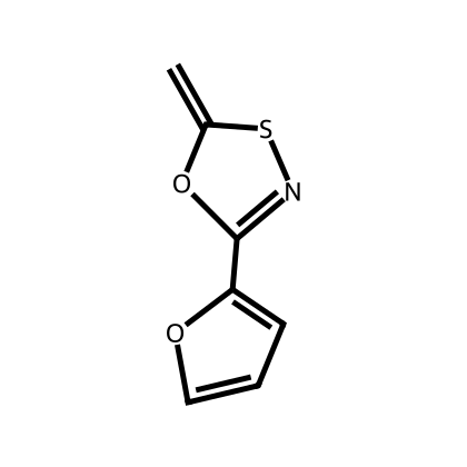 C=C1OC(c2ccco2)=NS1